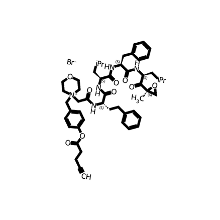 C#CCCC(=O)Oc1ccc(C[N+]2(CC(=O)N[C@@H](CCc3ccccc3)C(=O)N[C@@H](CC(C)C)C(=O)N[C@@H](Cc3ccccc3)C(=O)N[C@@H](CC(C)C)C(=O)[C@]3(C)CO3)CCOCC2)cc1.[Br-]